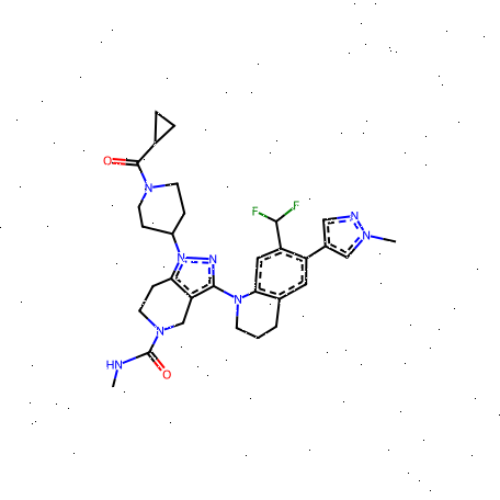 CNC(=O)N1CCc2c(c(N3CCCc4cc(-c5cnn(C)c5)c(C(F)F)cc43)nn2C2CCN(C(=O)C3CC3)CC2)C1